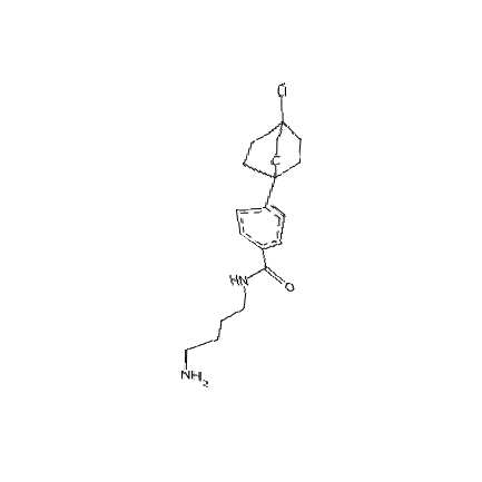 NCCCCNC(=O)c1ccc(C23CCC(Cl)(CC2)CC3)cc1